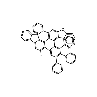 Cc1cc2c(c(-c3c(-c4ccccc4)cc4oc5ccccc5c4c3-c3ccc(-c4ccccc4)c(-c4ccccc4)c3-c3ccnnn3)c1C)Cc1ccccc1-2